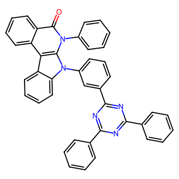 O=c1c2ccccc2c2c3ccccc3n(-c3cccc(-c4nc(-c5ccccc5)nc(-c5ccccc5)n4)c3)c2n1-c1ccccc1